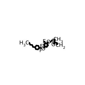 C=CC(=O)N(C)CCOc1ccc(OC(F)(F)C2CCC(CCCCC)CC2)cc1F